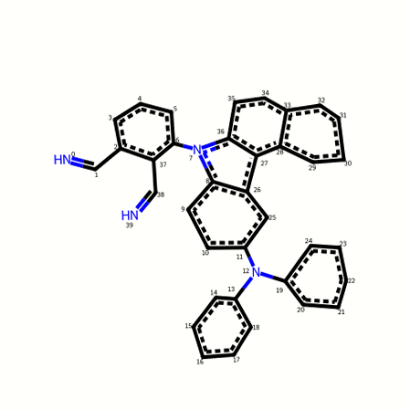 N=Cc1cccc(-n2c3ccc(N(c4ccccc4)c4ccccc4)cc3c3c4ccccc4ccc32)c1C=N